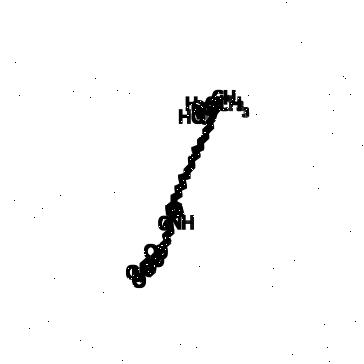 C[N+](C)(C)CC(CCCCCCCCCCCCCCCCCCc1ccc(NC(=O)CCCCOC(=O)Oc2ccc([N+](=O)[O-])cc2)cc1)OP(=O)([O-])O